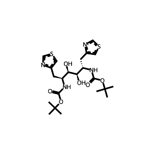 CC(C)(C)OC(=O)N[C@@H](Cc1cscn1)[C@@H](O)[C@H](O)[C@H](Cc1cscn1)NC(=O)OC(C)(C)C